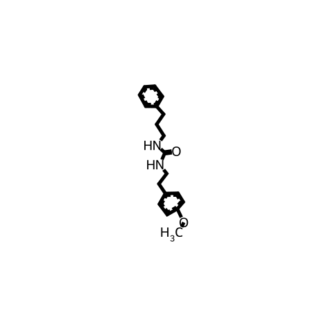 COc1ccc(CCNC(=O)NCCCc2ccccc2)cc1